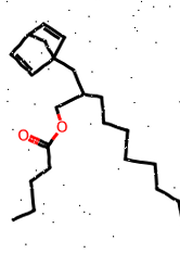 CCCCCCCCC(COC(=O)CCCC)CC12C=CC(C=C1)C2